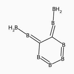 B/B=c1/bbbb/c1=B/B